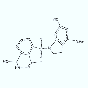 CNc1cc(C#N)cc2c1CCN2S(=O)(=O)c1cccc2c1C(C)=CNC2O